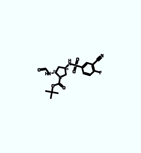 CC(C)(C)OC(=O)N1C[C@H](NS(=O)(=O)c2ccc(F)c(C#N)c2)C[C@H]1NC=O